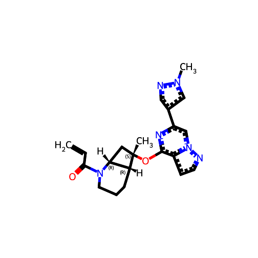 C=CC(=O)N1CCC[C@@H]2[C@H]1C[C@]2(C)Oc1nc(-c2cnn(C)c2)cn2nccc12